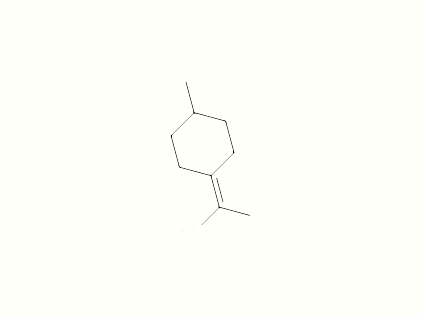 CC(C=O)=C1CCC(C)CC1